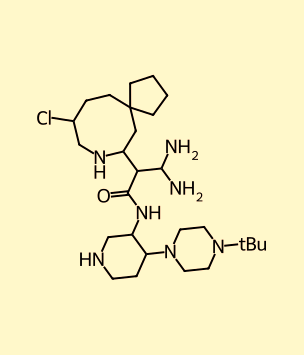 CC(C)(C)N1CCN(C2CCNCC2NC(=O)C(C(N)N)C2CC3(CCCC3)CCC(Cl)CN2)CC1